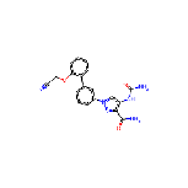 N#CCOc1ccccc1-c1cccc(-n2cc(NC(N)=O)c(C(N)=O)n2)c1